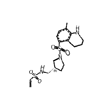 C=CS(=O)(=O)NC[C@H]1CCN(S(=O)(=O)c2ccc(C)c3c2CCCN3)C1